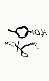 CC(C)(O)C(=O)CN.Cc1ccc(S(=O)(=O)O)cc1